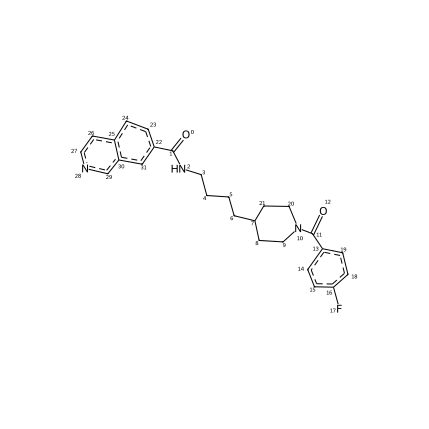 O=C(NCCCCC1CCN(C(=O)c2ccc(F)cc2)CC1)c1ccc2ccncc2c1